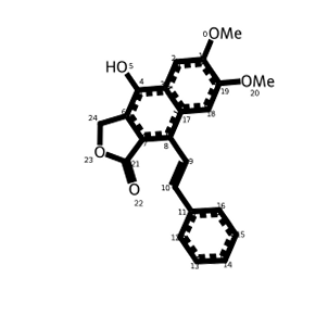 COc1cc2c(O)c3c(c(C=Cc4ccccc4)c2cc1OC)C(=O)OC3